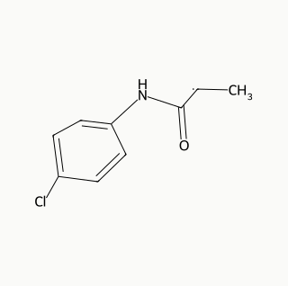 C[CH]C(=O)Nc1ccc(Cl)cc1